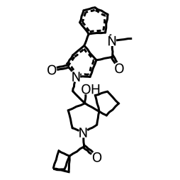 CN(C)C(=O)c1cn(CC2(O)CCN(C(=O)C34CC(C3)C4)CC23CCCC3)c(=O)cc1-c1ccccc1